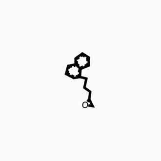 c1ccc2c(CCCC3CO3)cccc2c1